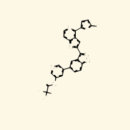 CC(C)(C)C(=O)Nc1cncc(-c2ccc3[nH]nc(-c4cc5c(-c6ccc(F)s6)nccc5[nH]4)c3c2)c1